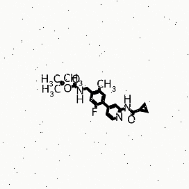 Cc1cc(-c2ccnc(NC(=O)C3CC3)c2)c(F)cc1CNC(=O)OC(C)(C)C